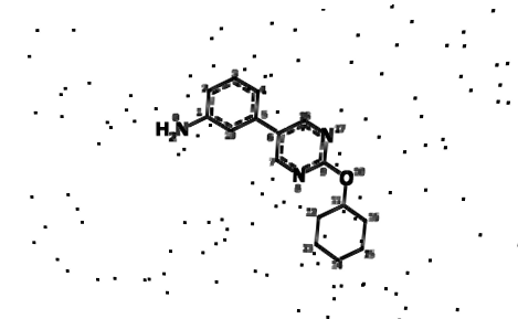 Nc1cccc(-c2cnc(OC3CCCCC3)nc2)c1